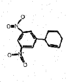 O=[N+]([O-])c1cc(C2C=CCCC2)cc([N+](=O)[O-])c1